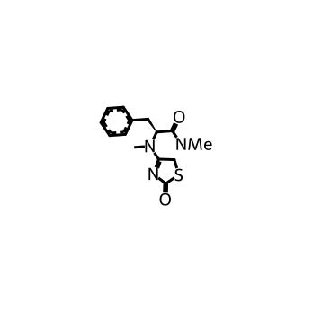 CNC(=O)[C@H](Cc1ccccc1)N(C)C1=NC(=O)SC1